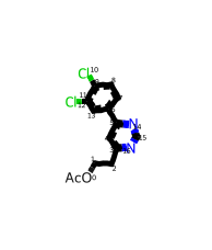 CC(=O)OCCc1cc(-c2ccc(Cl)c(Cl)c2)ncn1